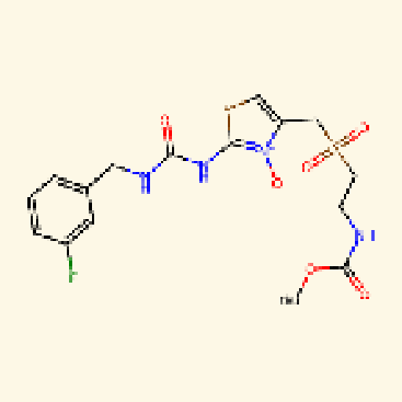 CC(C)(C)OC(=O)NCCS(=O)(=O)Cc1csc(NC(=O)NCc2cccc(F)c2)[n+]1[O-]